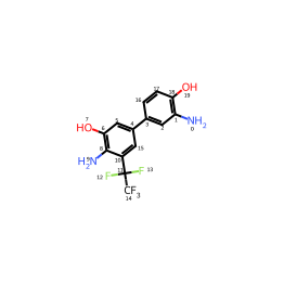 Nc1cc(-c2cc(O)c(N)c(C(F)(F)C(F)(F)F)c2)ccc1O